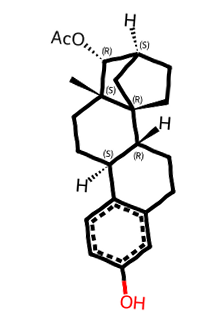 CC(=O)O[C@@H]1[C@H]2CC[C@@]3(C2)[C@@H]2CCc4cc(O)ccc4[C@H]2CC[C@]13C